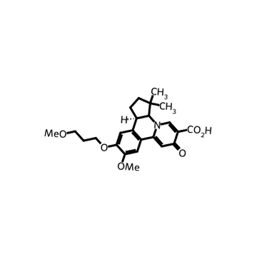 COCCCOc1cc2c(cc1OC)-c1cc(=O)c(C(=O)O)cn1C1[C@@H]2CCC1(C)C